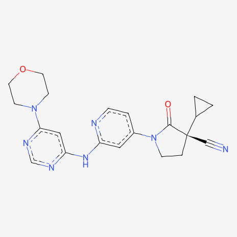 N#C[C@@]1(C2CC2)CCN(c2ccnc(Nc3cc(N4CCOCC4)ncn3)c2)C1=O